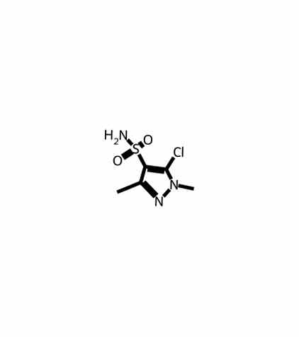 Cc1nn(C)c(Cl)c1S(N)(=O)=O